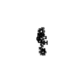 NC(=O)[C@@H](CC(=O)NCCCc1ccccn1)Cc1ccccc1